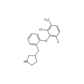 Cc1ccc(F)c(Oc2ccccc2CC2CCNC2)c1Cl